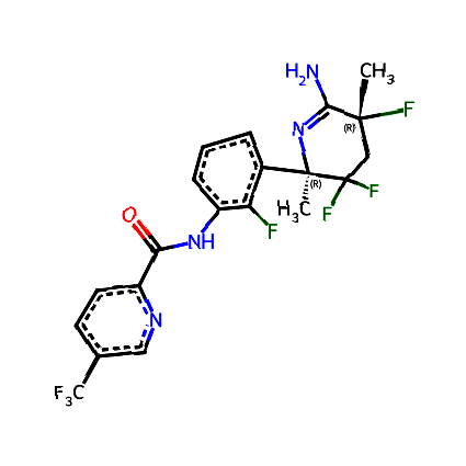 C[C@@]1(F)CC(F)(F)[C@@](C)(c2cccc(NC(=O)c3ccc(C(F)(F)F)cn3)c2F)N=C1N